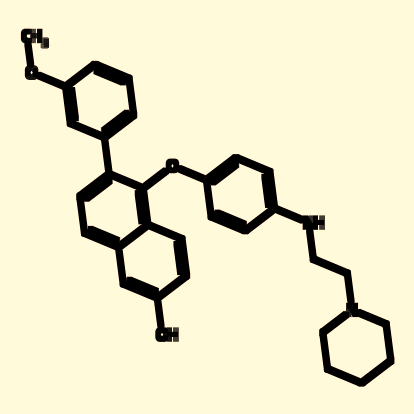 COc1cccc(-c2ccc3cc(O)ccc3c2Oc2ccc(NCCN3CCCCC3)cc2)c1